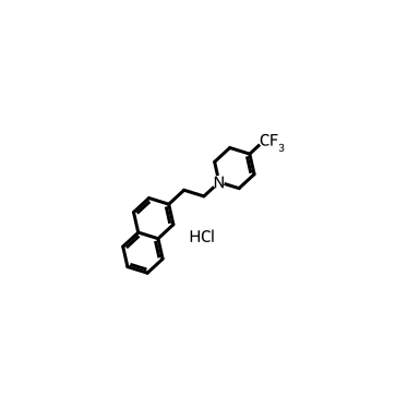 Cl.FC(F)(F)C1=CCN(CCc2ccc3ccccc3c2)CC1